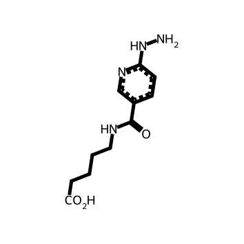 NNc1ccc(C(=O)NCCCCC(=O)O)cn1